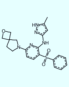 Cc1cc(Nc2nc(N3CCC4(COC4)C3)ccc2S(=O)(=O)c2ccccc2)n[nH]1